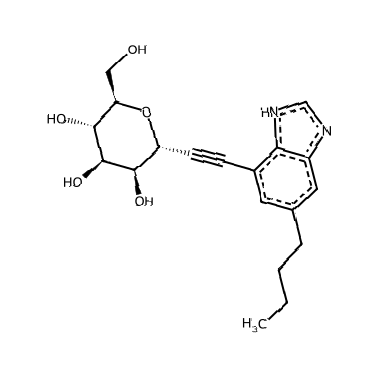 CCCCc1cc(C#C[C@H]2O[C@H](CO)[C@@H](O)[C@H](O)[C@@H]2O)c2[nH]cnc2c1